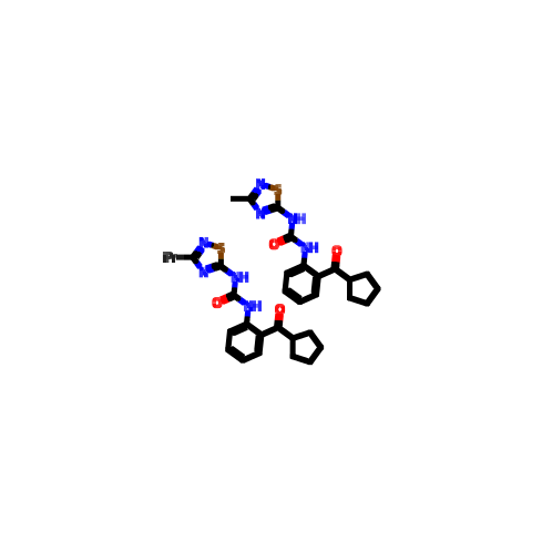 CC(C)c1nsc(NC(=O)Nc2ccccc2C(=O)C2CCCC2)n1.Cc1nsc(NC(=O)Nc2ccccc2C(=O)C2CCCC2)n1